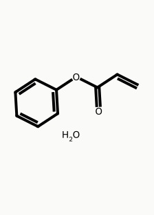 C=CC(=O)Oc1ccccc1.O